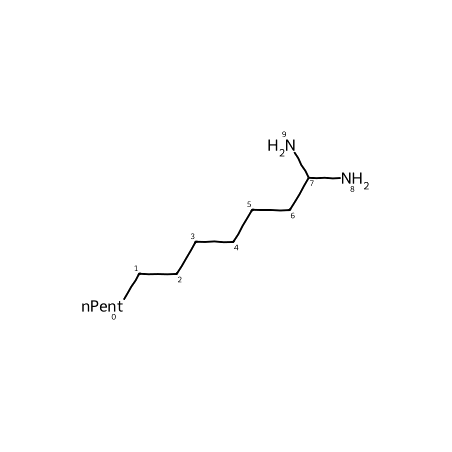 C[CH]CCCCCCCCCC(N)N